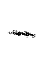 CC(C)ON=Cc1ccc(OCCOc2c(Cl)cc(OCC=C(Cl)Cl)cc2Cl)cc1